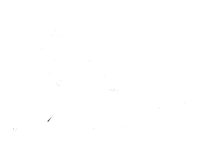 COC(=O)C[C@@H]1O[C@@H](c2cccc(OCc3ccccc3)c2OC)c2cc(Cl)ccc2N(CC(=O)OC(C)(C)C)C1=O